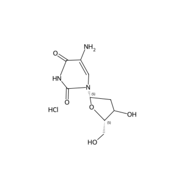 Cl.Nc1cn([C@@H]2CC(O)[C@H](CO)O2)c(=O)[nH]c1=O